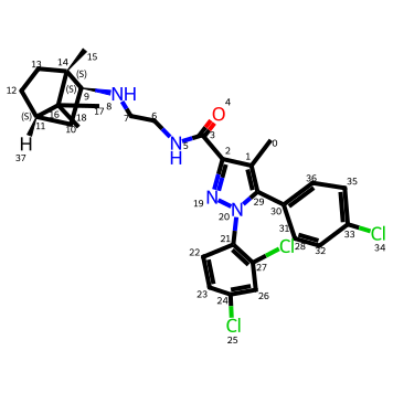 Cc1c(C(=O)NCCN[C@H]2C[C@@H]3CC[C@@]2(C)C3(C)C)nn(-c2ccc(Cl)cc2Cl)c1-c1ccc(Cl)cc1